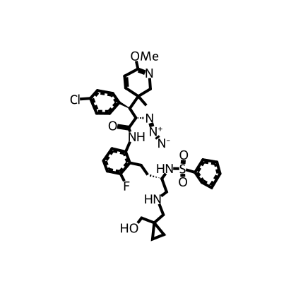 COC1=NCC(C)([C@H](c2ccc(Cl)cc2)[C@H](N=[N+]=[N-])C(=O)Nc2cccc(F)c2CC[C@@H](CNCC2(CO)CC2)NS(=O)(=O)c2ccccc2)C=C1